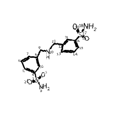 NS(=O)(=O)c1cccc(CNCc2cccc(S(N)(=O)=O)c2)c1